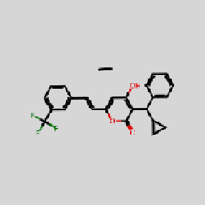 CC.O=c1oc(C=Cc2cccc(C(F)(F)F)c2)cc(O)c1C(c1ccccc1)C1CC1